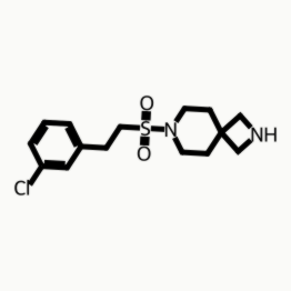 O=S(=O)(CCc1cccc(Cl)c1)N1CCC2(CC1)CNC2